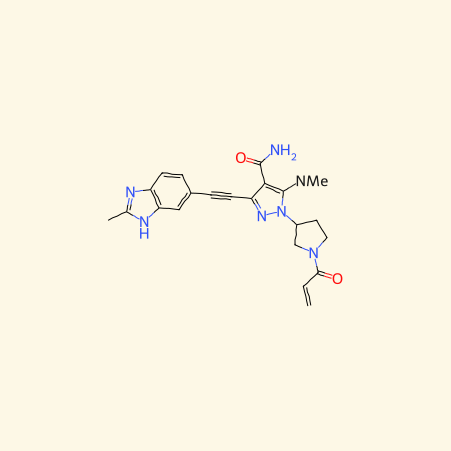 C=CC(=O)N1CCC(n2nc(C#Cc3ccc4nc(C)[nH]c4c3)c(C(N)=O)c2NC)C1